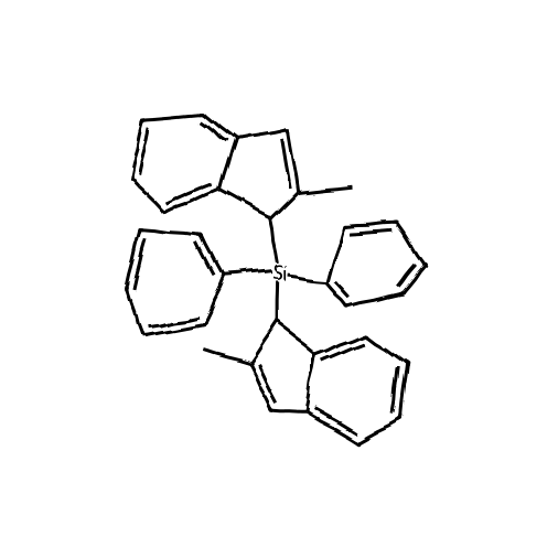 CC1=Cc2ccccc2C1[Si](c1ccccc1)(c1ccccc1)C1C(C)=Cc2ccccc21